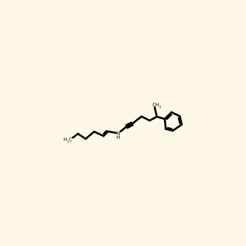 CCCCC=CNC#CCCC(C)c1ccccc1